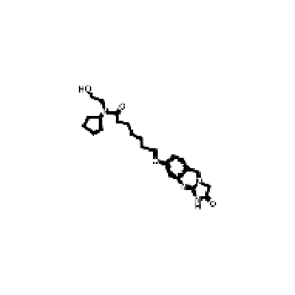 O=C1CN2Cc3ccc(OCCCCCCC(=O)N(CCO)C4CCCC4)cc3N=C2N1